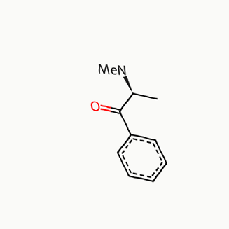 CN[C@@H](C)C(=O)c1ccccc1